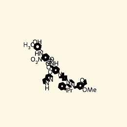 COc1cc(CN2CCN(C3CC4(C3)CN(c3ccc(C(=O)NS(=O)(=O)c5ccc(NC[C@H]6CC[C@](C)(O)CC6)c([N+](=O)[O-])c5)c(Oc5cnc6[nH]ccc6c5)c3)C4)[C@H](c3ccccc3C(C)C)C2)cc2occc12